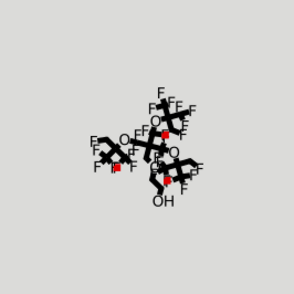 OCCOCC(C(F)(F)OC(CF)(C(F)(F)F)C(F)(F)F)(C(F)(F)OC(CF)(C(F)(F)F)C(F)(F)F)C(F)(F)OC(CF)(C(F)(F)F)C(F)(F)F